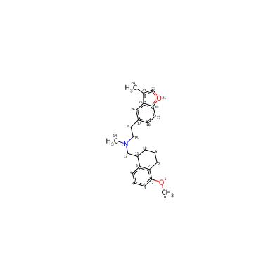 COc1cccc2c1CCCC2CN(C)CCc1ccc2occ(C)c2c1